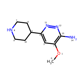 COc1cc(C2CCNCC2)nnc1N